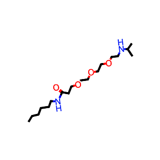 CCCCCCNC(=O)CCOCCOCCOCCNC(C)C